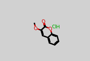 COc1cc2ccccc2oc1=O.Cl